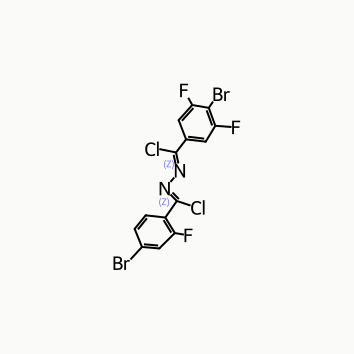 Fc1cc(Br)ccc1/C(Cl)=N/N=C(\Cl)c1cc(F)c(Br)c(F)c1